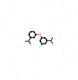 CC(C)c1cccc(Oc2cc(F)cc(C(C)C)c2)c1